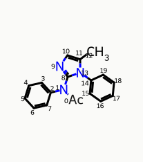 CC(=O)N(c1ccccc1)c1ncc(C)n1-c1ccccc1